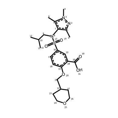 Cc1nn(C)c(C)c1N(CC(C)C)S(=O)(=O)c1ccc(OCC2CCOCC2)c(C(=O)O)c1